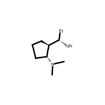 CCC[C@@H](CC)[C@@H]1CCC[C@H]1N(C)C